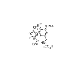 COc1cc(CNC(=O)O)ccc1Br.FC(F)(F)c1ccc(CBr)o1